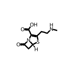 CNCCC1=C(C(=O)O)N2C(=O)C[C@H]2S1